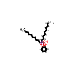 CCCCCCCCCCP(O)(O)(CCCCCCCCCC)Oc1ccccc1